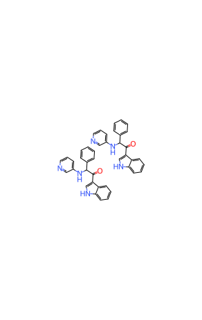 O=C(c1c[nH]c2ccccc12)C(Nc1cccnc1)c1ccccc1.O=C(c1c[nH]c2ccccc12)C(Nc1cccnc1)c1ccccc1